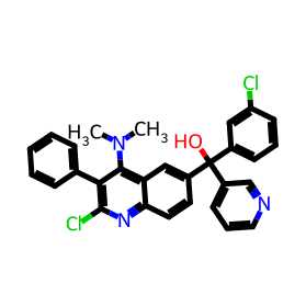 CN(C)c1c(-c2ccccc2)c(Cl)nc2ccc(C(O)(c3cccnc3)c3cccc(Cl)c3)cc12